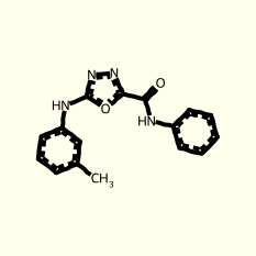 Cc1cccc(Nc2nnc(C(=O)Nc3ccccc3)o2)c1